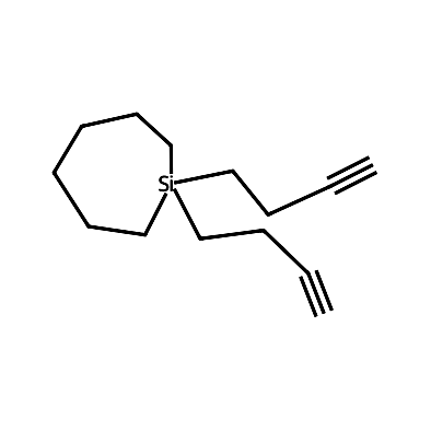 C#CCC[Si]1(CCC#C)CCCCCC1